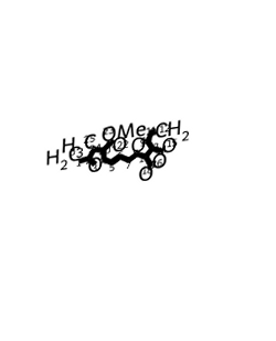 C=CC1OC(C=CCC2OC(C=C)C3C(=O)OC(=O)C23)C(C(=O)OC)C1C